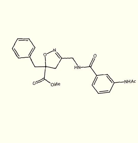 COC(=O)C1(Cc2ccccc2)CC(CNC(=O)c2cccc(NC(C)=O)c2)=NO1